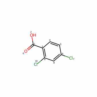 O=C(O)c1c[c]c(Cl)cc1Cl